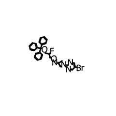 FC(CON=C1CN(c2ncc(Br)cn2)C1)COC(c1ccccc1)(c1ccccc1)c1ccccc1